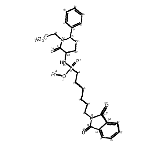 CCOP(=O)(CCCCCCN1C(=O)c2ccccc2C1=O)NC1CSC(c2ccccc2)N(CC(=O)O)C1=O